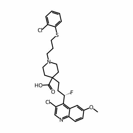 COc1ccc2ncc(Cl)c([C@@H](F)CCC3(C(=O)O)CCN(CCCSc4ccccc4Cl)CC3)c2c1